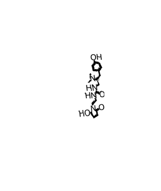 CN(C)[C@H](CNC(=O)NCCN1C(=O)C=CC1O)Cc1ccc(O)cc1